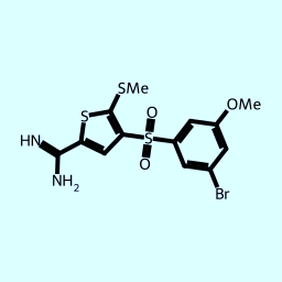 COc1cc(Br)cc(S(=O)(=O)c2cc(C(=N)N)sc2SC)c1